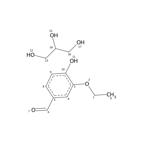 CCOc1cc(C=O)ccc1O.OCC(O)CO